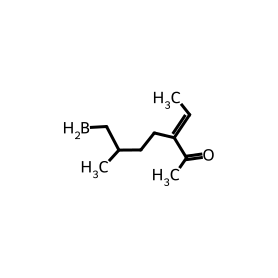 BCC(C)CC/C(=C\C)C(C)=O